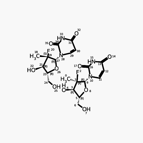 C[C@@]1(F)[C@H](O)[C@@H](CO)O[C@H]1n1ccc(=O)[nH]c1=O.C[C@]1(F)[C@H](O)[C@@H](CO)O[C@H]1n1ccc(=O)[nH]c1=O